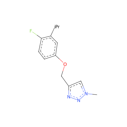 CC(C)c1cc(OCc2cn(C)nn2)ccc1F